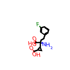 NC(CCc1cccc(F)c1)(C(=O)O)C1CC1C(=O)O